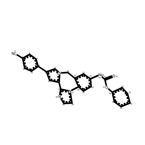 N#Cc1ccc(-c2cc3n(c2)Cc2cc(NC(=O)Oc4ccccc4)ccc2-n2ccnc2-3)cc1